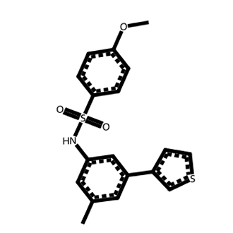 COc1ccc(S(=O)(=O)Nc2cc(C)cc(-c3ccsc3)c2)cc1